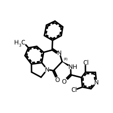 Cc1cc2c3c(c1)C(c1ccccc1)=N[C@@H](NC(=O)c1c(Cl)cncc1Cl)C(=O)N3CC2